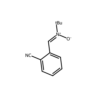 CC(C)(C)/[N+]([O-])=C/c1ccccc1C#N